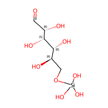 O=C[C@H](O)[C@@H](O)[C@H](O)[C@H](O)CO[Si](O)(O)O